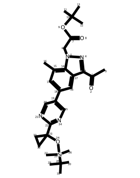 CC(=O)c1nn(CC(=O)OC(C)(C)C)c2c(C)cc(-c3cnc(C4(O[Si](C)(C)C(C)(C)C)CC4)nc3)cc12